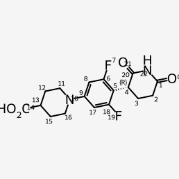 O=C1CC[C@H](c2c(F)cc(N3CCC(C(=O)O)CC3)cc2F)C(=O)N1